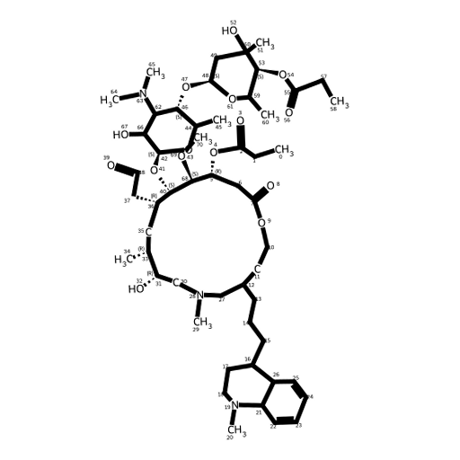 CCC(=O)O[C@@H]1CC(=O)OCCC(CCCC2CCN(C)C3C=CC=CC23)CN(C)C[C@H](O)[C@H](C)C[C@H](CC=O)[C@H](O[C@@H]2OC(C)[C@@H](O[C@H]3CC(C)(O)[C@@H](OC(=O)CC)C(C)O3)C(N(C)C)C2O)[C@H]1OC